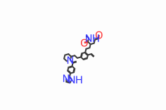 C=Cc1ccc(CCC2CCCCN2C(=C)c2ccc(-c3ncc[nH]3)cc2)cc1CCC(CCC=O)C(=O)NC